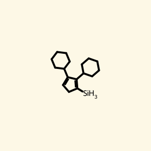 [SiH3]C1=C(C2CCCCC2)C(C2CCCCC2)=CC1